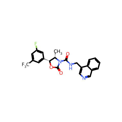 C[C@H]1[C@@H](c2cc(F)cc(C(F)(F)F)c2)OC(=O)N1C(=O)NCc1cncc2ccccc12